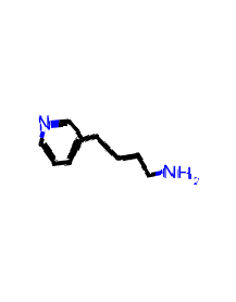 NCCCCc1cccnc1